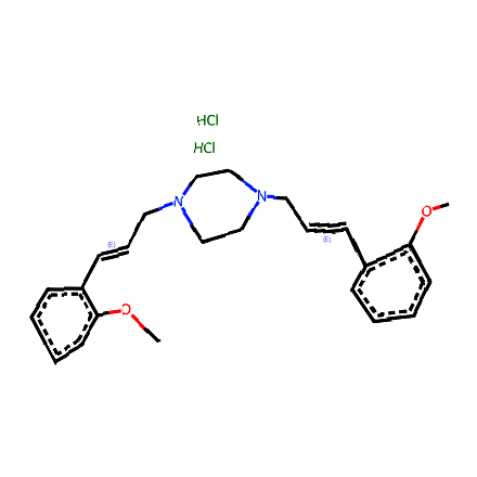 COc1ccccc1/C=C/CN1CCN(C/C=C/c2ccccc2OC)CC1.Cl.Cl